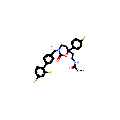 COC(=O)NCCC1(c2ccc(F)cc2)CCN([C@@H](C)c2ccc(-c3ccc(F)cc3F)cc2)C(=O)O1